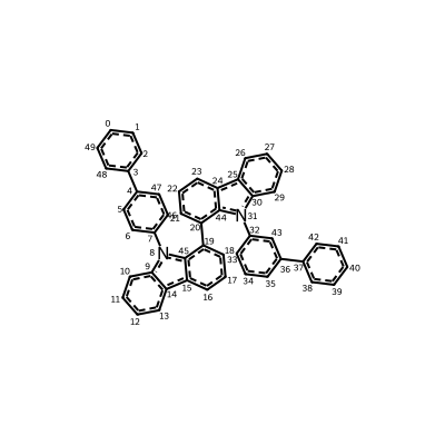 c1ccc(-c2ccc(-n3c4ccccc4c4cccc(-c5cccc6c7ccccc7n(-c7cccc(-c8ccccc8)c7)c56)c43)cc2)cc1